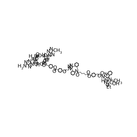 B[P@@]1(=O)OC[C@H]2O[C@@H](n3cnc4c(C)ncnc43)[C@H](F)[C@@H]2O[P@@](=O)(SCc2ccc(OC(=O)c3ccc(OCCn4nnc5c4-c4ccccc4N(C(=O)CCCCC(=O)Oc4ccc(COC(=O)Nc6nc7ccccc7c7c6nc(COCC)n7CC(C)(C)O)cc4)Cc4ccccc4-5)cc3)cc2)OC[C@H]2O[C@@H](n3cnc4c(N)ncnc43)[C@H](F)[C@@H]2O1